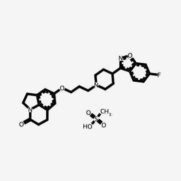 CS(=O)(=O)O.O=C1CCc2cc(OCCCN3CCC(c4noc5cc(F)ccc45)CC3)cc3c2N1CC3